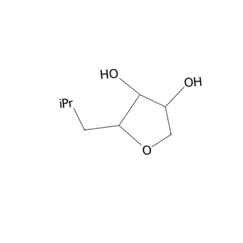 CC(C)CC1OCC(O)C1O